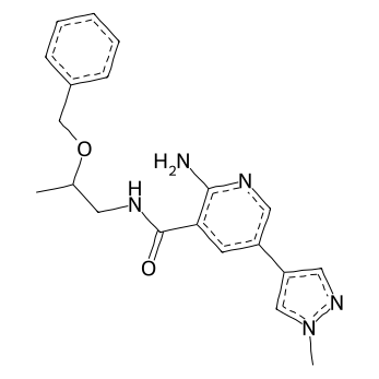 CC(CNC(=O)c1cc(-c2cnn(C)c2)cnc1N)OCc1ccccc1